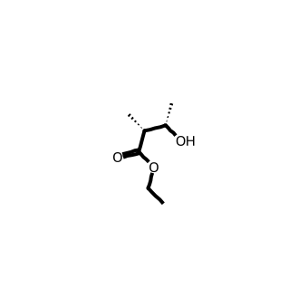 CCOC(=O)[C@H](C)[C@H](C)O